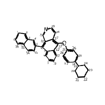 c1ccc2cc(-c3c4ccccc4c(Oc4ccc(C5CCCCC5)cc4)c4ccncc34)ccc2c1